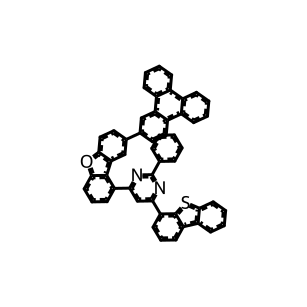 c1ccc(-c2nc(-c3cccc4c3sc3ccccc34)cc(-c3cccc4oc5ccc(-c6ccc7c8ccccc8c8ccccc8c7c6)cc5c34)n2)cc1